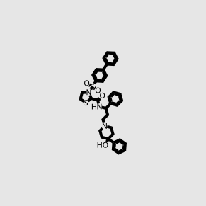 O=C(NC(CCN1CCC(O)(c2ccccc2)CC1)c1ccccc1)C1SCCN1S(=O)(=O)c1ccc(-c2ccccc2)cc1